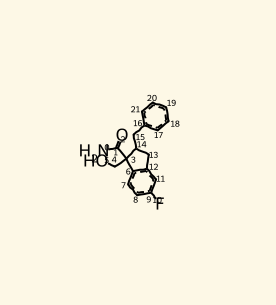 NC(=O)C1(CO)c2ccc(F)cc2CC1Cc1ccccc1